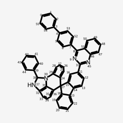 c1ccc(-c2ccc(-c3nc(-c4ccc5c(c4)C4(c6ccccc6-5)c5ccccc5N5c6c(cccc64)NC5c4ccccc4)nc4ccccc34)cc2)cc1